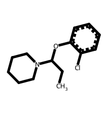 CCC(Oc1ccccc1Cl)N1CCCCC1